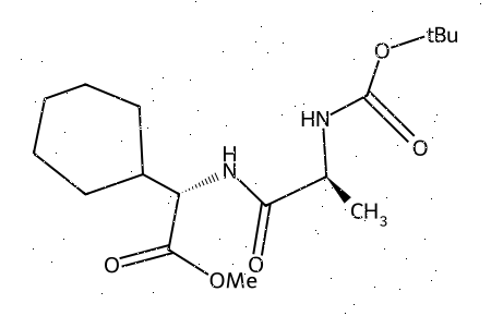 COC(=O)[C@@H](NC(=O)[C@H](C)NC(=O)OC(C)(C)C)C1CCCCC1